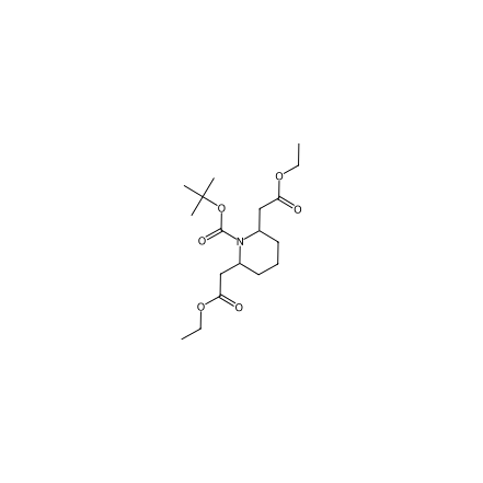 CCOC(=O)CC1CCCC(CC(=O)OCC)N1C(=O)OC(C)(C)C